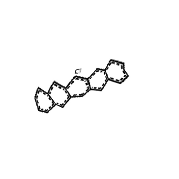 [C].c1ccc2cc3cc4cc5ccccc5cc4cc3cc2c1